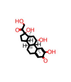 C[C@]12C=C(O)C(=O)C=C1CC[C@@H]1[C@@H]2[C@@H](O)C[C@@]2(C)[C@H]1CC[C@]2(O)C(=O)CO